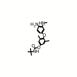 CNc1cc(Oc2c(C)cc(OC(=O)NC(C)(C)C)cc2C)ccc1N